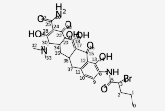 CCCC(Br)C(=O)Nc1ccc2c(c1O)C(=O)C1=C(O)C3(O)C(=O)C(C(N)=O)=C(O)[C@@H](N(C)C)C3CC1C2